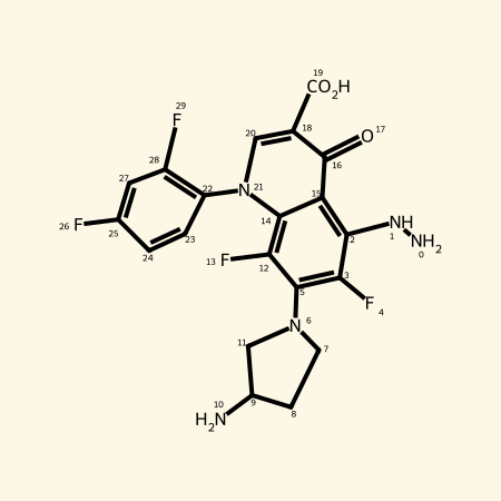 NNc1c(F)c(N2CCC(N)C2)c(F)c2c1c(=O)c(C(=O)O)cn2-c1ccc(F)cc1F